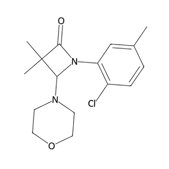 Cc1ccc(Cl)c(N2C(=O)C(C)(C)C2N2CCOCC2)c1